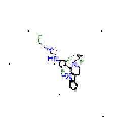 FCCCNCCNc1cc(F)c(C2c3[nH]c4ccccc4c3CCN2CC2(F)CC2)c(F)c1